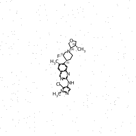 Cc1cc2cnc(Nc3cnn(C)c3Cl)nc2cc1[C@@H]1CCN([C@H]2COC[C@H]2C)C[C@H]1F